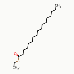 [CH2]CSC(=O)CCCCCCCCCCCCCCCC